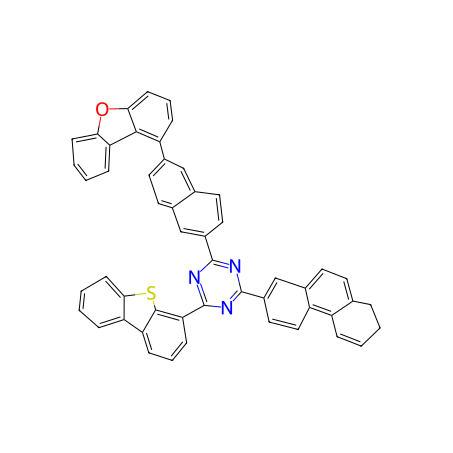 C1=Cc2c(ccc3cc(-c4nc(-c5ccc6cc(-c7cccc8oc9ccccc9c78)ccc6c5)nc(-c5cccc6c5sc5ccccc56)n4)ccc23)CC1